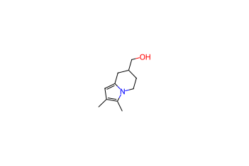 Cc1cc2n(c1C)CCC(CO)C2